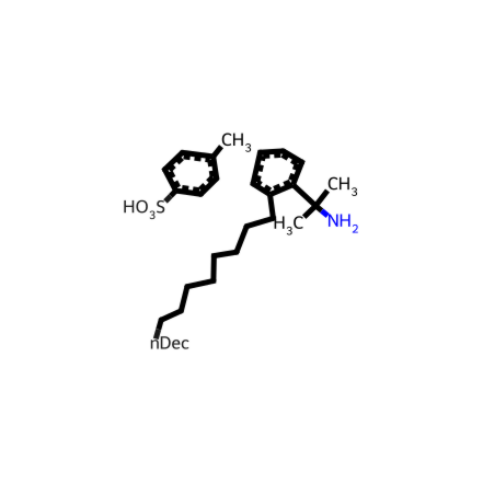 CCCCCCCCCCCCCCCCCCc1ccccc1C(C)(C)N.Cc1ccc(S(=O)(=O)O)cc1